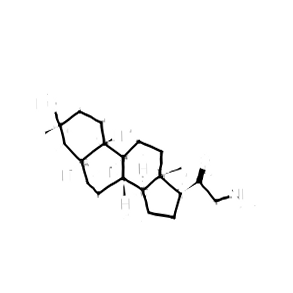 C[C@@]1(O)CC[C@H]2[C@@H](CC[C@@H]3[C@@H]2CC[C@]2(C)[C@@H](C(=O)CN)CC[C@@H]32)C1